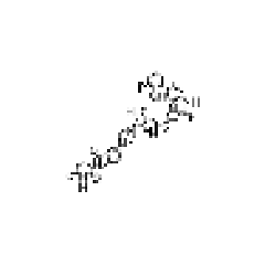 CC[C@@]12CNc3nnc(-c4cccc(F)c4O)cc3N1C[C@H](Sc1cc(C)c(CN3CCN(c4ccc5c(c4)C(=O)N(C4CCC(=O)NC4=O)C5)CC3)cn1)C2